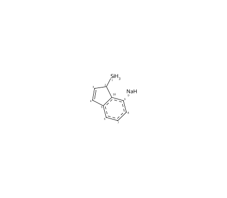 [NaH].[SiH3]C1C=Cc2ccccc21